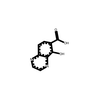 O=C(O)c1ccc2nccnc2c1O